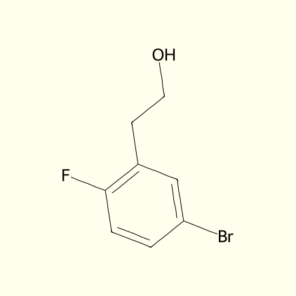 OCCc1cc(Br)ccc1F